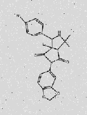 CC1(C)NC(c2ccc(Br)cc2)C2(C)C(=O)N(c3ccc4c(c3)OCO4)C(=O)C12